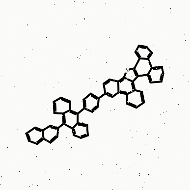 c1ccc2cc(-c3c4ccccc4c(-c4ccc(-c5ccc6c(c5)c5ccccc5c5c6sc6c7ccccc7c7ccccc7c65)cc4)c4ccccc34)ccc2c1